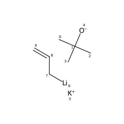 CC(C)(C)[O-].[K+].[Li][CH2]C=C